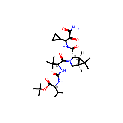 CC(C)[C@H](NC(=O)N[C@H](C(=O)N1C[C@H]2[C@@H]([C@H]1C(=O)NC(C(=O)C(N)=O)C1CC1)C2(C)C)C(C)(C)C)C(=O)OC(C)(C)C